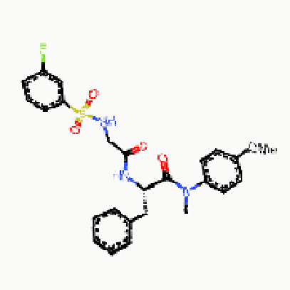 COc1ccc(N(C)C(=O)[C@H](Cc2ccccc2)NC(=O)CNS(=O)(=O)c2cccc(F)c2)cc1